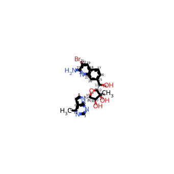 Cc1ncnc2c1ccn2[C@@H]1O[C@H](C(O)c2ccc3cc(Br)c(N)nc3c2)[C@@](C)(O)[C@H]1O